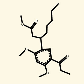 CCCCCC(CC(=O)OC)c1cc(C(=O)CC)c(OC)cc1OC